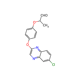 CC(C=O)Oc1ccc(Oc2cnc3cc(Cl)ccc3n2)cc1